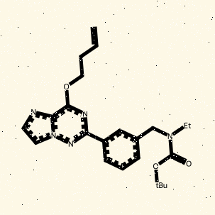 C=CCCOc1nc(-c2cccc(CN(CC)C(=O)OC(C)(C)C)c2)nn2ccnc12